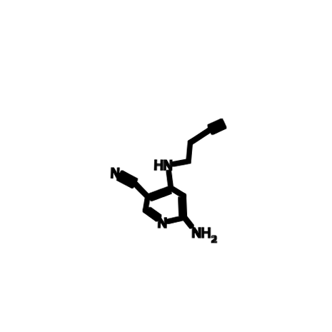 C#CCCNc1cc(N)ncc1C#N